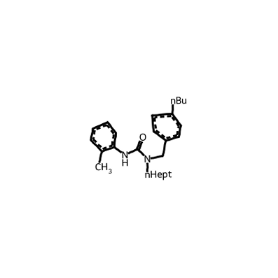 CCCCCCCN(Cc1ccc(CCCC)cc1)C(=O)Nc1ccccc1C